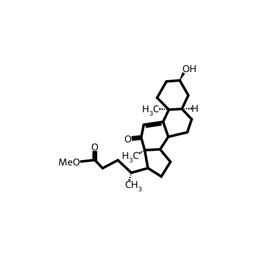 COC(=O)CC[C@@H](C)C1CCC2C3CC[C@@H]4C[C@H](O)CC[C@]4(C)C3=CC(=O)[C@@]21C